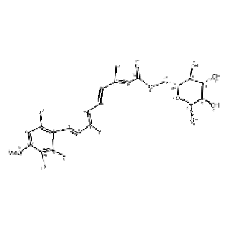 COc1cc(C)c(C=CC(C)=CC=CC(C)=CC(=O)OC[C@H]2O[C@H](O)[C@H](O)[C@@H](O)[C@@H]2O)c(C)c1C